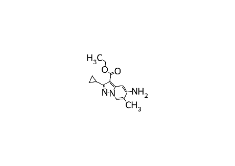 CCOC(=O)c1c(C2CC2)nn2cc(C)c(N)cc12